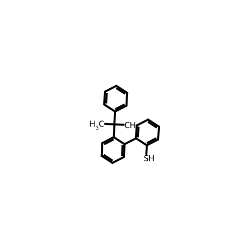 CC(C)(c1ccccc1)c1ccccc1-c1ccccc1S